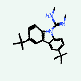 C/N=C(\NC)n1c2ccc(C(C)(C)C)cc2c2cc(C(C)(C)C)ccc21